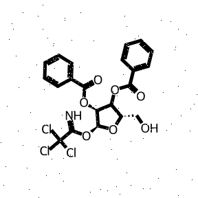 N=C(O[C@@H]1O[C@@H](CO)C(OC(=O)c2ccccc2)[C@@H]1OC(=O)c1ccccc1)C(Cl)(Cl)Cl